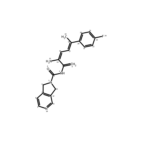 C=C(NC(=O)N1Cc2ccncc2C1)/C(N)=C\C=C(/C)c1ccc(F)cc1